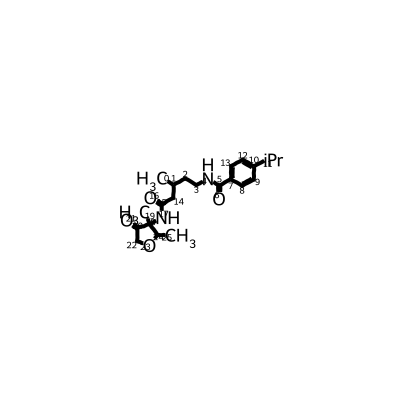 CC(CCNC(=O)c1ccc(C(C)C)cc1)CC(=O)NC1(C)C(=O)COC1C